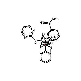 CC1=CC2c3cccc(c3S(N)(=O)=O)N1[N+]2(C(=O)Nc1ncccn1)c1cccc(C(=N)N)c1